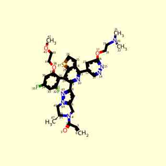 C=CC(=O)N1Cc2cc(-c3nc(-c4cnnc(OCCN(C)C)c4)c4ccsc4c3-c3c(F)cc(F)cc3OCCOC)nn2C[C@H]1C